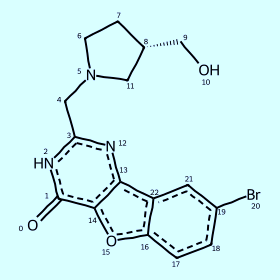 O=c1[nH]c(CN2CC[C@H](CO)C2)nc2c1oc1ccc(Br)cc12